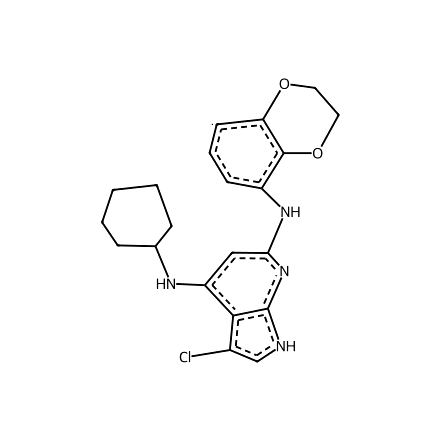 Clc1c[nH]c2nc(Nc3cc[c]c4c3OCCO4)cc(NC3CCCCC3)c12